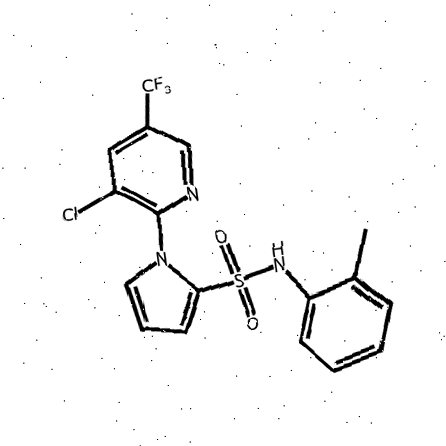 Cc1ccccc1NS(=O)(=O)c1cccn1-c1ncc(C(F)(F)F)cc1Cl